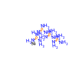 NP(N)N.NP(N)N.NP(N)N.NP(N)N.[Ni]